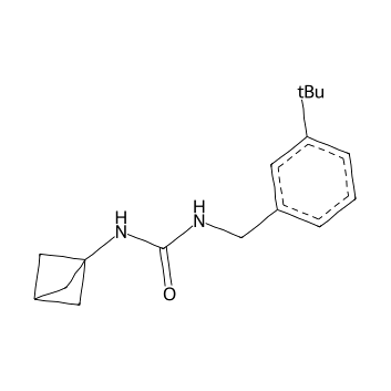 CC(C)(C)c1cccc(CNC(=O)NC23CC(C2)C3)c1